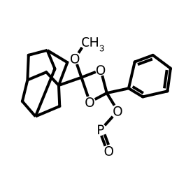 COC1(C23CC4CC(CC(C4)C2)C3)OC(OP=O)(c2ccccc2)O1